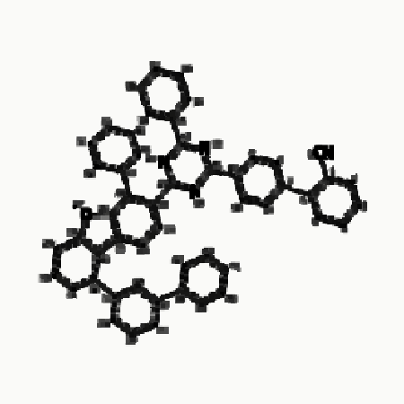 N#Cc1ccccc1-c1ccc(-c2nc(-c3ccccc3)nc(-c3ccc4c(oc5cccc(-c6cccc(-c7ccccc7)c6)c54)c3-c3ccccc3)n2)cc1